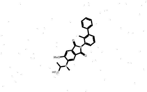 COc1cc2c(cc1N(C)C(C)C(=O)O)C(=O)N(c1cccc(-c3ccccc3)c1C)C2=O